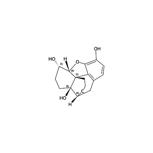 Oc1ccc2c3c1O[C@H]1[C@@H](O)CC[C@@]4(O)[C@H](CCC[C@]314)C2